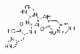 CNc1nc(NC(Cc2c[nH]cn2)C(=O)O)nc(NC(Cc2c[nH]cn2)C(=O)O)n1